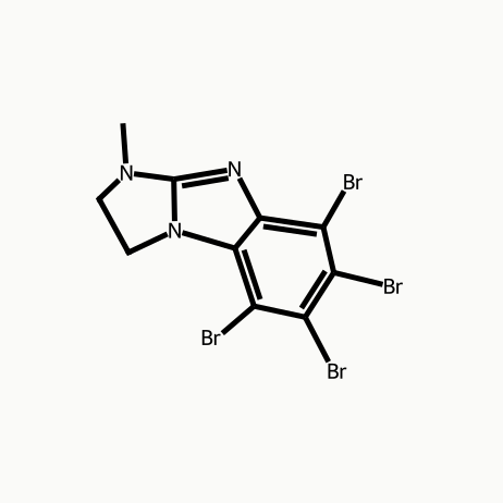 CN1CCn2c1nc1c(Br)c(Br)c(Br)c(Br)c12